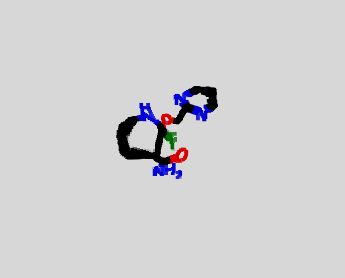 NC(=O)C1=CC=CNC1(F)OCc1ncccn1